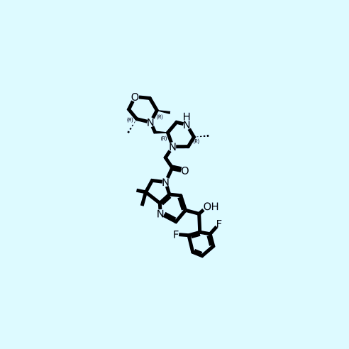 C[C@@H]1CN(CC(=O)N2CC(C)(C)c3ncc(C(O)c4c(F)cccc4F)cc32)[C@@H](CN2[C@H](C)COC[C@H]2C)CN1